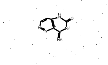 N=c1[nH]c(=O)[nH]c2ccnnc12